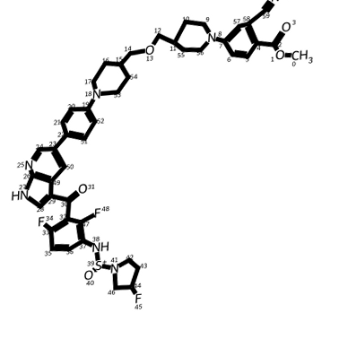 COC(=O)c1ccc(N2CCC(COCC3CCN(c4ccc(-c5cnc6[nH]cc(C(=O)c7c(F)ccc(N[S+]([O-])N8CCC(F)C8)c7F)c6c5)cc4)CC3)CC2)cc1C#N